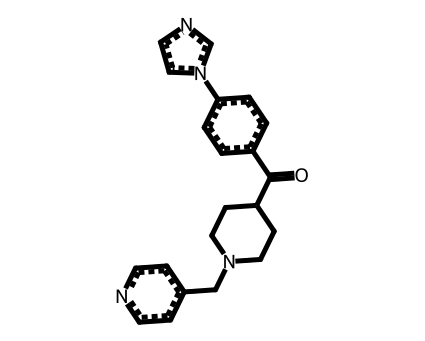 O=C(c1ccc(-n2ccnc2)cc1)C1CCN(Cc2ccncc2)CC1